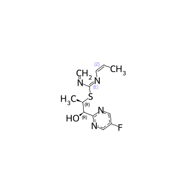 C=N/C(=N\C=C/C)S[C@H](C)[C@H](O)c1ncc(F)cn1